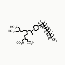 O=C(O)CN(CCN(CCN(CC(=O)O)CC(=O)O)CC(=O)N1CCN(S(=O)(=O)C(F)(F)C(F)(F)C(F)(F)C(F)(F)C(F)(F)C(F)(F)C(F)(F)C(F)(F)F)CC1)CC(=O)O